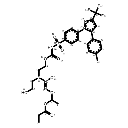 CCC(=O)OC(C)ON=[N+]([O-])N(CCO)CCOC(=O)NS(=O)(=O)c1ccc(-n2nc(C(F)(F)F)cc2-c2ccc(C)cc2)cc1